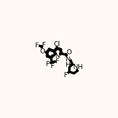 O=C(NCC1CC(F)CCN1)c1cc(Cl)c2cc(OC(F)F)cc(C(F)(F)F)c2n1